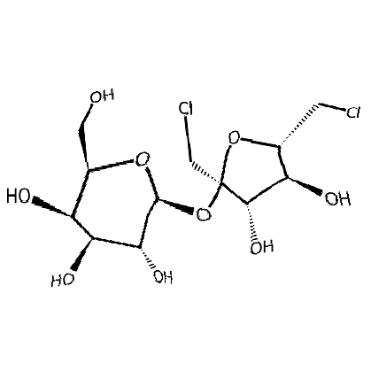 OC[C@H]1O[C@@H](O[C@@]2(CCl)O[C@H](CCl)[C@@H](O)[C@@H]2O)[C@H](O)[C@@H](O)[C@H]1O